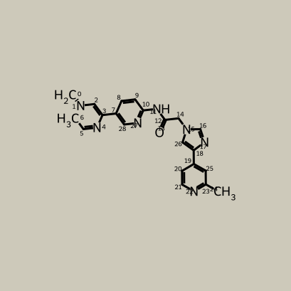 C=N/C=C(\N=C/C)c1ccc(NC(=O)Cn2cnc(-c3ccnc(C)c3)c2)nc1